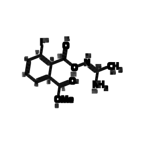 COC(=O)c1cccc(F)c1C(=O)O/N=C(/C)N